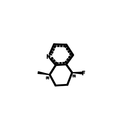 C[C@@H]1CC[C@H](F)c2cccnc21